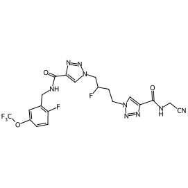 N#CCNC(=O)c1cn(CCC(F)Cn2cc(C(=O)NCc3cc(OC(F)(F)F)ccc3F)nn2)nn1